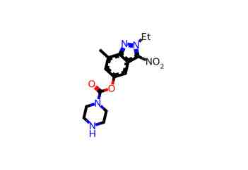 CCn1nc2c(C)cc(OC(=O)N3CCNCC3)cc2c1[N+](=O)[O-]